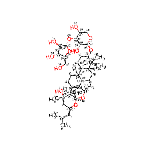 CC(C)=C[C@H]1C[C@](C)(O)[C@@H]2[C@H]3CC[C@@H]4[C@@]5(C)CC[C@H](O[C@@H]6OC[C@H](O)[C@H](O[C@@H]7O[C@@H](CO)[C@H](O)[C@H]7O)[C@H]6O)C(C)(C)[C@@H]5CC[C@@]4(C)[C@@]34CO[C@@]2(C4)O1